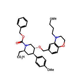 COCCCN1CCOc2ccc(CO[C@H]3CN(C(=O)OCc4ccccc4)[C@H](CC(=O)O)C[C@@H]3c3ccc(OC)cc3)cc21